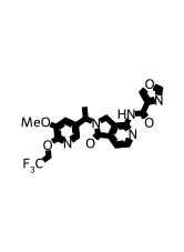 COc1cc(C(C)N2Cc3c(ccnc3NC(=O)c3cocn3)C2=O)cnc1OCC(F)(F)F